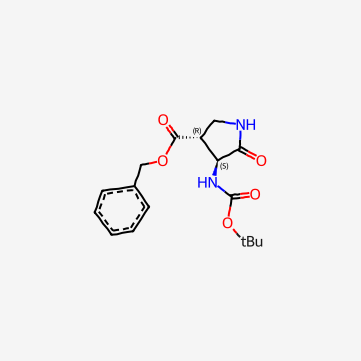 CC(C)(C)OC(=O)N[C@@H]1C(=O)NC[C@H]1C(=O)OCc1ccccc1